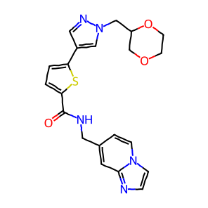 O=C(NCc1ccn2ccnc2c1)c1ccc(-c2cnn(CC3COCCO3)c2)s1